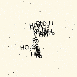 Cc1cc(N(C)c2nc(C(=O)O)c(CCCOc3ccc(C#CC[N+](C)(C)Cc4ccc(NC(=O)[C@H](C)NC(=O)[C@@H](N)C(C)C)cc4CC[C@@H]4O[C@H](C(=O)O)[C@@H](O)[C@H](O)[C@H]4O)cc3F)s2)nnc1Nc1nc2ccccc2s1